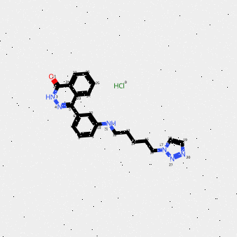 Cl.O=c1[nH]nc(-c2cccc(NCCCCCn3ccnn3)c2)c2ccccc12